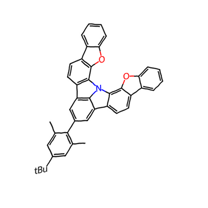 Cc1cc(C(C)(C)C)cc(C)c1-c1cc2c3ccc4c5ccccc5oc4c3n3c2c(c1)c1ccc2c4ccccc4oc2c13